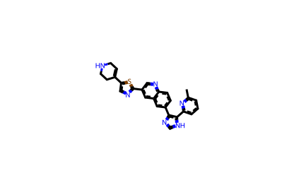 Cc1cccc(-c2[nH]cnc2-c2ccc3ncc(-c4ncc(C5=CCNCC5)s4)cc3c2)n1